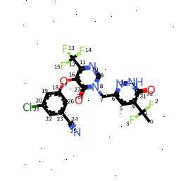 CC(F)(F)c1cc(Cn2cnc(C(F)(F)F)c(Oc3cc(Cl)cc(C#N)c3)c2=O)n[nH]c1=O